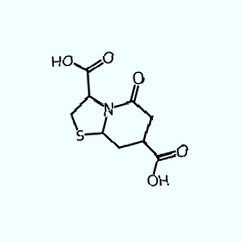 O=C(O)C1CC(=O)N2C(C1)SCC2C(=O)O